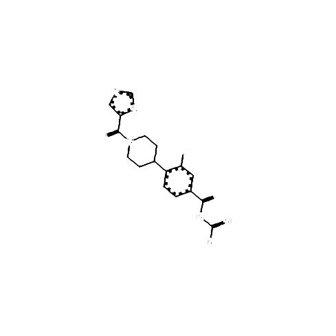 Cc1cc(C(=O)NC(=N)N)ccc1C1CCN(C(=O)c2cnc[nH]2)CC1